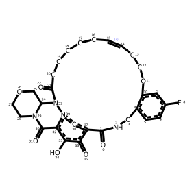 O=C1NCc2ccc(F)cc2OCC/C=C\CCCCCC(=O)N2C3COCCN3C(=O)c3c(O)c(=O)c1cn32